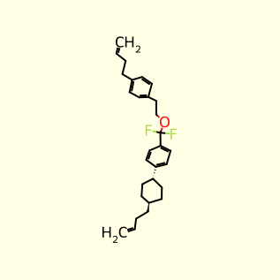 C=CCCc1ccc(CCOC(F)(F)c2ccc([C@H]3CC[C@H](CCC=C)CC3)cc2)cc1